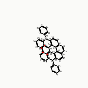 c1ccc(C(c2ccccn2)c2ccc3ccc4ccc(N(c5ccccc5)c5ccccn5)c5c6ccccc6c2c3c45)cc1